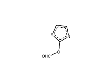 O=COc1nccs1